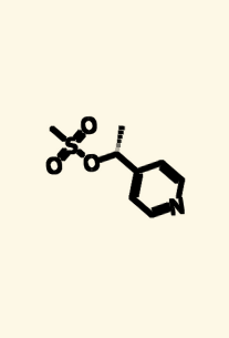 C[C@@H](OS(C)(=O)=O)c1ccncc1